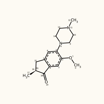 COc1cc2c(cc1N1CCN(C)CC1)C[C@H](C)C2=O